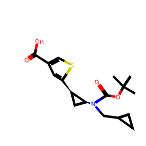 CC(C)(C)OC(=O)N(CC1CC1)[C@@H]1C[C@H]1c1cc(C(=O)O)cs1